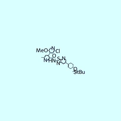 COc1cnc(Cl)cc1-c1cc(C)ncc1C(=O)Nc1nc2cc(C3=CCC(O[Si](C)(C)C(C)(C)C)CC3)cnc2s1